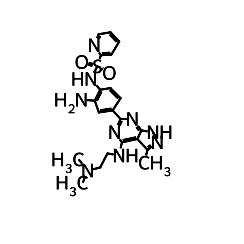 Cc1n[nH]c2nc(-c3ccc(NS(=O)(=O)c4ccccn4)c(N)c3)nc(NCCN(C)C)c12